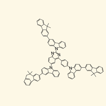 CC1(C)Cc2cccc(c2)-c2ccc(-c3ccc4c(c3)c3ccccc3n4-c3ccc4nc(-n5c6ccccc6c6cc(-c7ccc8c(c7)C(C)(C)c7ccccc7-8)ccc65)nc(-c5ccc(-n6c7ccccc7c7cc(-c8ccc9c(c8)C(C)(C)c8ccccc8-9)ccc76)cc5)c4c3)cc21